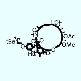 CO[C@H]1/C=C/O[C@@]2(C)Oc3c(C)c(O)c4c(=O)c(c5oc6cc(OCC[N+](C)(C)C(C)(C)C)cc(Cl)c6nc-5c4c3C2=O)NC(=O)/C(C)=C\C=C\[C@H](C)[C@H](O)[C@@H](C)[C@@H](C)[C@@H](C)[C@H](OC(C)=O)[C@@H]1C